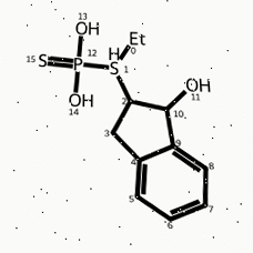 CC[SH](C1Cc2ccccc2C1O)P(O)(O)=S